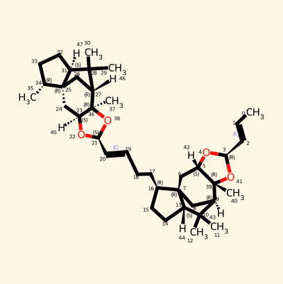 C/C=C/[C@@H]1O[C@H]2C[C@@]34C[C@H](C(C)(C)[C@@H]3CC[C@H]4CC/C=C/[C@H]3O[C@H]4C[C@@]56C[C@H](C(C)(C)[C@@H]5CC[C@H]6C)[C@@]4(C)O3)[C@@]2(C)O1